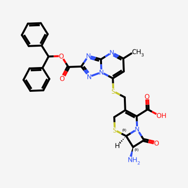 Cc1cc(SCC2=C(C(=O)O)N3C(=O)[C@@H](N)[C@H]3SC2)n2nc(C(=O)OC(c3ccccc3)c3ccccc3)nc2n1